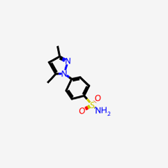 Cc1cc(C)n(-c2ccc(S(N)(=O)=O)cc2)n1